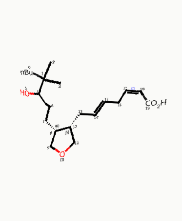 CCCCC(C)(C)C(O)CC[C@H]1COC[C@H]1CC=CC/C=C\C(=O)O